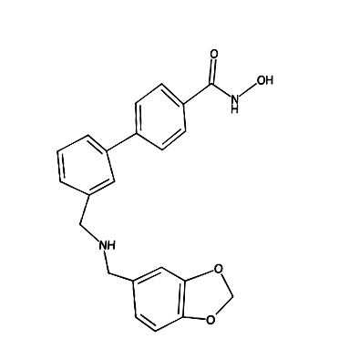 O=C(NO)c1ccc(-c2cccc(CNCc3ccc4c(c3)OCO4)c2)cc1